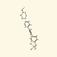 CC[C@H]1CC[C@H](c2ccc(C#Cc3ccc(OC(F)(F)F)cc3)cc2)CC1